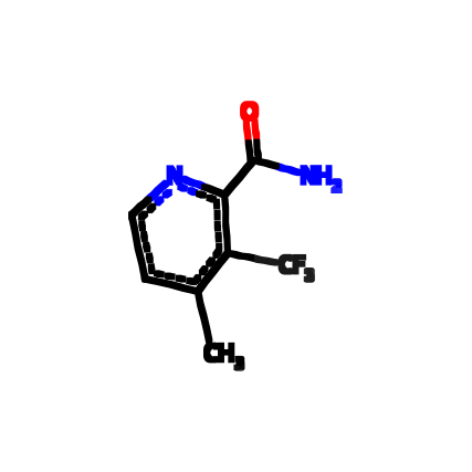 Cc1ccnc(C(N)=O)c1C(F)(F)F